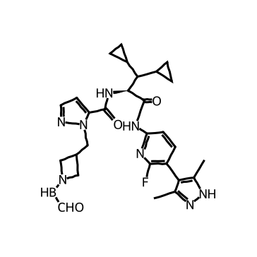 Cc1n[nH]c(C)c1-c1ccc(NC(=O)[C@@H](NC(=O)c2ccnn2CC2CN(BC=O)C2)C(C2CC2)C2CC2)nc1F